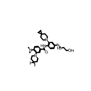 CN(C)c1ccc(C(=O)Nc2ccc(NSCCO)cc2N2CCC3(CC2)CC3)cc1N1CCC(F)(F)CC1